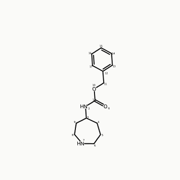 O=C(NC1CCCNCC1)OCc1ccccc1